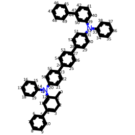 CC1CC=C(c2ccccc2)C=C1N(c1ccccc1)c1ccc(-c2ccc(-c3ccc(N(c4ccccc4)c4cccc(-c5ccccc5)c4)cc3)cc2)cc1